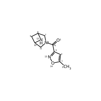 Cc1cc(C(=O)N2CC3CC(C2)N3)no1